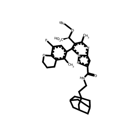 Cc1nc2cc(C(=O)NCCC34CC5CC(CC(C5)C3)C4)nn2c(-c2cc(F)c3c(c2C)CCCO3)c1[C@H](OC(C)(C)C)C(=O)O